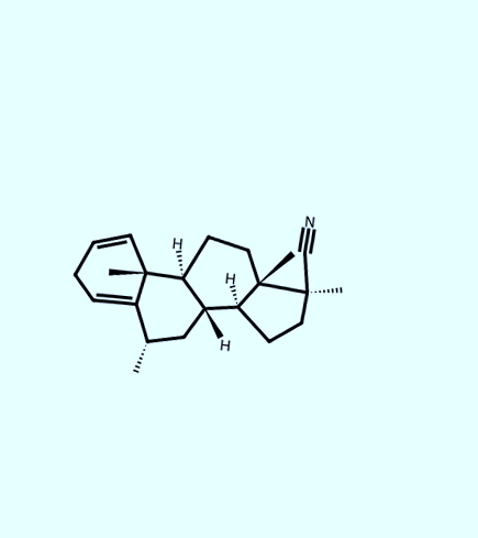 C[C@H]1C[C@@H]2[C@H](CC[C@@]3(C)[C@H]2CC[C@]3(C)C#N)[C@@]2(C)C=CCC=C12